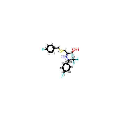 OCC(CSCc1ccc(F)cc1)N[C@H](c1ccc(F)cc1)C(F)(F)F